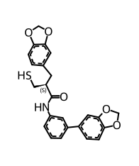 O=C(Nc1cccc(-c2ccc3c(c2)OCO3)c1)[C@@H](CS)Cc1ccc2c(c1)OCO2